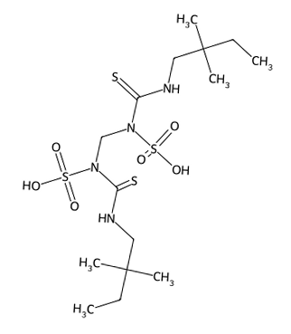 CCC(C)(C)CNC(=S)N(CN(C(=S)NCC(C)(C)CC)S(=O)(=O)O)S(=O)(=O)O